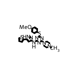 COc1ccc(Sc2nc(Nc3cc(-c4cccs4)[nH]n3)nc(N3CCN(C)CC3)n2)cc1